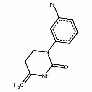 C=C1CCN(c2cccc(C(C)C)c2)C(=O)N1